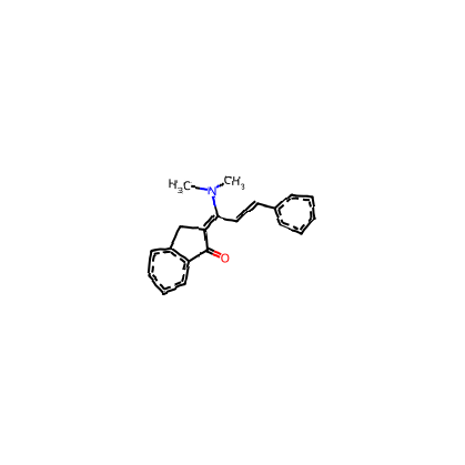 CN(C)C(C=Cc1ccccc1)=C1Cc2ccccc2C1=O